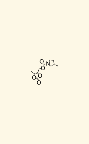 Cc1oc(=O)oc1COC(=O)N1CC[C@@H](C)C1